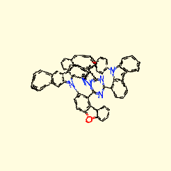 c1ccc(-n2c3ccccc3c3cccc(-c4nc(-c5cccc6ccccc56)nc(-c5c(-n6c7ccccc7c7cc8ccccc8cc76)ccc6oc7ccccc7c56)n4)c32)cc1